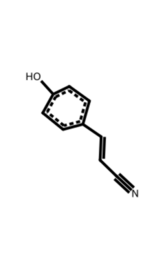 N#CC=Cc1ccc(O)cc1